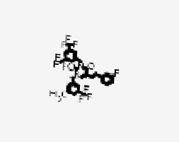 Cc1cc(Cn2cc(/C=C/c3cccc(F)c3)c(=O)n(Cc3cc(C(F)(F)F)cc(C(F)(F)F)c3)c2=O)cc(C(F)(F)F)c1